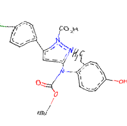 Cc1cc(O)ccc1N(C(=O)OC(C)(C)C)c1cc(-c2ccc(Br)cc2)n(C(=O)O)n1